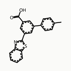 Cc1ccc(-c2cc(C(=O)O)cc(-c3nc4ccccc4s3)c2)cc1